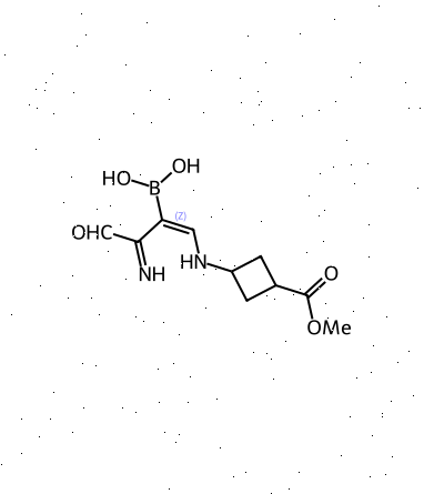 COC(=O)C1CC(N/C=C(/B(O)O)C(=N)C=O)C1